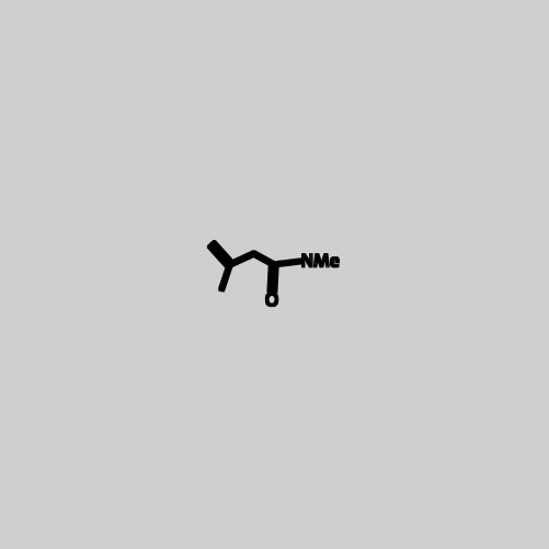 [CH2]NC(=O)CC(=C)C